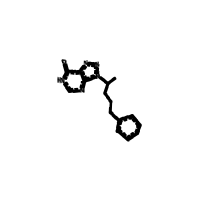 CC(CCCc1ccccc1)n1nnc2c(=O)[nH]cnc21